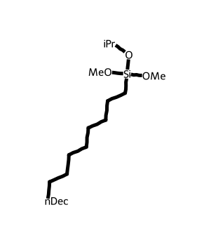 CCCCCCCCCCCCCCCCCC[Si](OC)(OC)OC(C)C